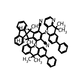 CC1(C)c2ccccc2N(c2c(C#N)c(N3c4ccc(-c5ccccc5)cc4C(C)(C)c4ncccc43)c(C#N)c3c2C(C)(C)C2(c4ccccc4-c4ccccc42)C3(C)C)c2ccc(-c3ccccc3)cc21